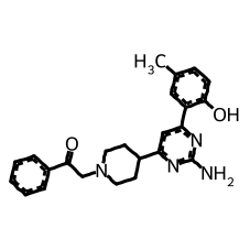 Cc1ccc(O)c(-c2cc(C3CCN(CC(=O)c4ccccc4)CC3)nc(N)n2)c1